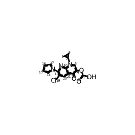 O=C(O)Oc1cn(C2CC2)c2nc(-n3cccc3)c(Cl)cc2c1=O